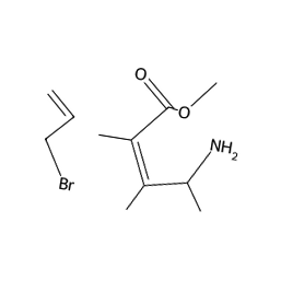 C=CCBr.COC(=O)C(C)=C(C)C(C)N